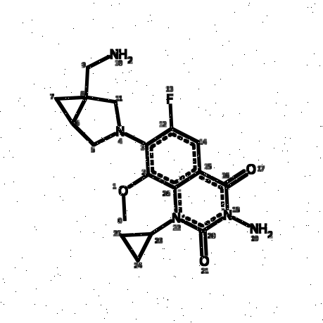 COc1c(N2CC3CC3(CN)C2)c(F)cc2c(=O)n(N)c(=O)n(C3CC3)c12